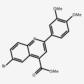 COC(=O)c1cc(-c2ccc(OC)c(OC)c2)nc2ccc(Br)cc12